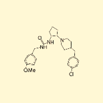 COc1ccc(CNC(=O)NC2CCCC2N2CCC(Cc3ccc(Cl)cc3)CC2)cc1